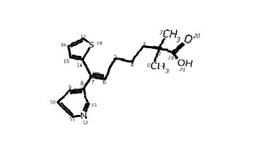 CC(C)(CCCC=C(c1cccnc1)c1cccs1)C(=O)O